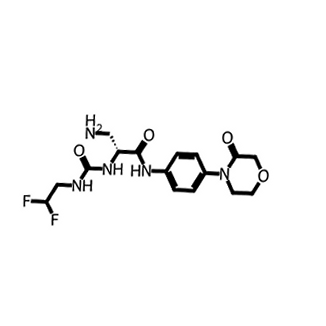 NC[C@@H](NC(=O)NCC(F)F)C(=O)Nc1ccc(N2CCOCC2=O)cc1